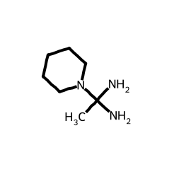 CC(N)(N)N1CCCCC1